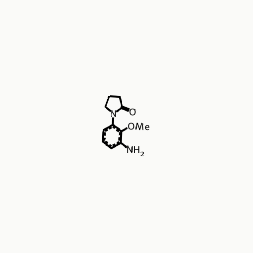 COc1c(N)cccc1N1CCCC1=O